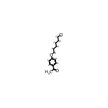 CC(=O)c1ccc(OCCCCCCCl)cc1